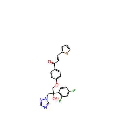 O=C(C=Cc1cccs1)c1ccc(OCC(O)(Cn2cncn2)c2ccc(F)cc2F)cc1